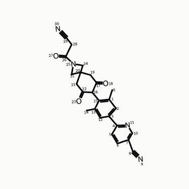 Cc1cc(-c2ccc(C#N)cn2)cc(C)c1C1C(=O)CC2(CC1=O)CN(C(=O)CC#N)C2